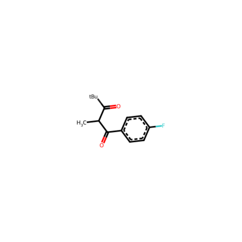 CC(C(=O)c1ccc(F)cc1)C(=O)C(C)(C)C